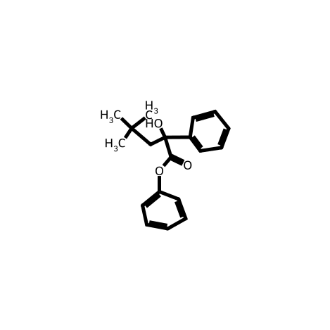 CC(C)(C)CC(O)(C(=O)Oc1ccccc1)c1ccccc1